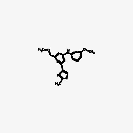 COCc1cc(Nc2cccc(OC)c2)nc(-c2csc(C)n2)n1